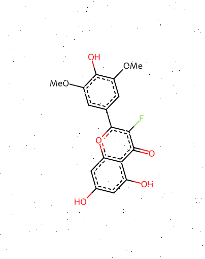 COc1cc(-c2oc3cc(O)cc(O)c3c(=O)c2F)cc(OC)c1O